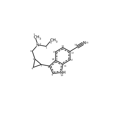 CCN(C)CC1CC1c1c[nH]c2cc(C#N)ccc12